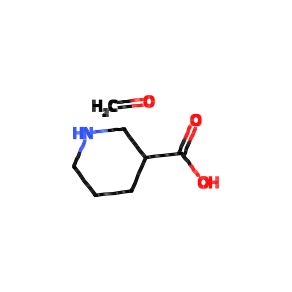 C=O.O=C(O)C1CCCNC1